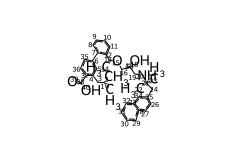 CC(C)Cc1cc(-c2ccccc2C(C)OC[C@H](O)CNC(C)(C)Cc2ccc3ccccc3c2)ccc1C(=O)O